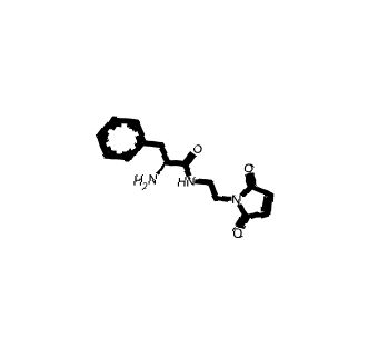 N[C@@H](Cc1ccccc1)C(=O)NCCN1C(=O)C=CC1=O